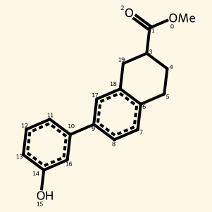 COC(=O)C1CCc2ccc(-c3cccc(O)c3)cc2C1